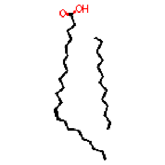 CCCCCCCC/C=C\CCCCCCCCCCCC(=O)O.CCCCCCCCCCCCC